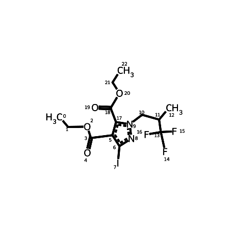 CCOC(=O)c1c(I)nn(CC(C)C(F)(F)F)c1C(=O)OCC